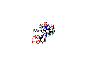 COc1c(N2CC3CCC(O)C(O)C3C2)c(F)c(C(F)F)c2c(=O)[nH]c(=O)n(C3CC3)c12